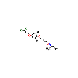 CCc1cc(OCC=C(Cl)Cl)cc(CC)c1OCCCCO/N=C(\C)CC(C)C